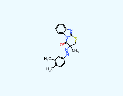 Cc1ccc(N=NC2(C)CSc3nc4ccccc4n3C2=O)cc1C